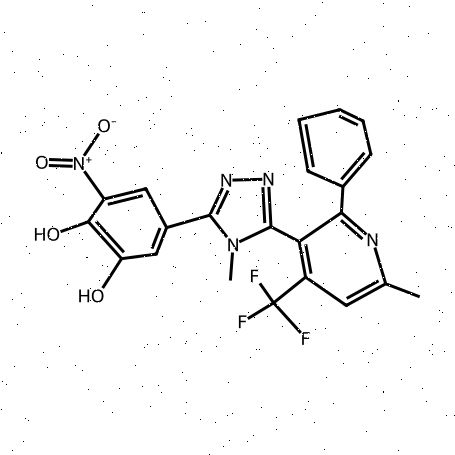 Cc1cc(C(F)(F)F)c(-c2nnc(-c3cc(O)c(O)c([N+](=O)[O-])c3)n2C)c(-c2ccccc2)n1